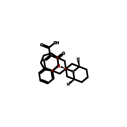 O=C(O)c1nc2ccccc2n([C@H]2C[C@H]3CCC[C@@H](C2)N3C2CC3CCCCC(C3)C2)c1=O